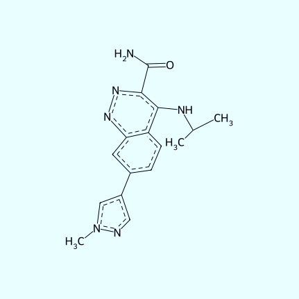 CC(C)Nc1c(C(N)=O)nnc2cc(-c3cnn(C)c3)ccc12